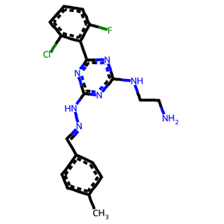 Cc1ccc(C=NNc2nc(NCCN)nc(-c3c(F)cccc3Cl)n2)cc1